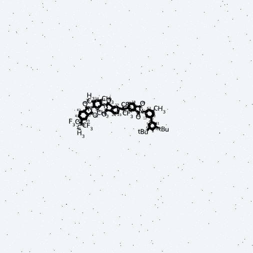 Cc1cc(-c2cc(C(C)(C)C)cc(C(C)(C)C)c2)cc(N2C(=O)c3ccc(C(c4ccc5c(c4)C(=O)N(c4c(C)cc(C)c(N6C(=O)c7ccc(C(C)(C(F)(F)F)C(F)(F)F)cc7C6=O)c4C)C5=O)(C(F)(F)F)C(F)(F)F)cc3C2=O)c1